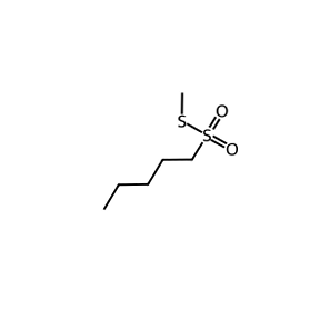 CCCCCS(=O)(=O)SC